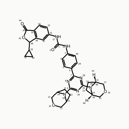 O=C(Nc1ccc(-c2nc(N3C4CCC3COC4)nc(N3[C@@H]4CC[C@H]3COC4)n2)cc1)Nc1ccc2c(c1)C(C1CC1)OC2=O